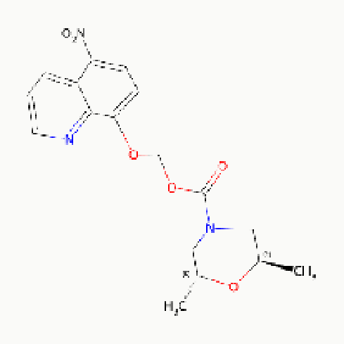 C[C@@H]1CN(C(=O)OCOc2ccc([N+](=O)[O-])c3cccnc23)C[C@@H](C)O1